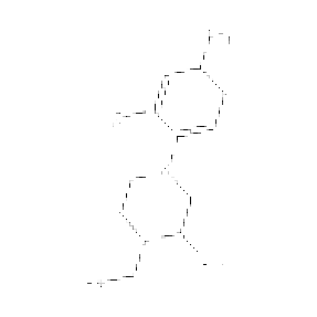 CC1=CC(C)CC=C1N1CCC(CS)C(C)C1